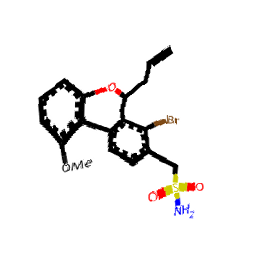 C=CCC1Oc2cccc(OC)c2-c2ccc(CS(N)(=O)=O)c(Br)c21